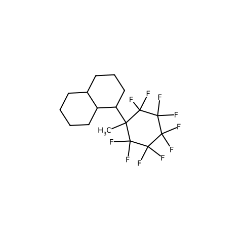 CC1(C2CCCC3CCCCC32)C(F)(F)C(F)(F)C(F)(F)C(F)(F)C1(F)F